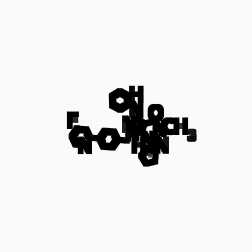 CN1C(=O)c2c(Nc3ccccc3)nn(Cc3ccc(-c4cc(F)ccn4)cc3)c2N2C1=NC1CCC[C@@H]12